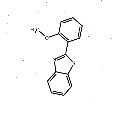 COc1[c]cccc1-c1nc2ccccc2s1